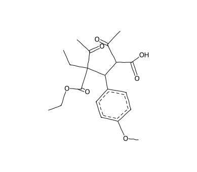 CCOC(=O)C(CC)(C(C)=O)C(c1ccc(OC)cc1)C(C(C)=O)C(=O)O